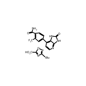 CC(C)(C)c1noc(C(=O)O)n1.NC(=O)c1ccc(-c2ccnc3[nH]c(=O)[nH]c23)cc1C(F)(F)F